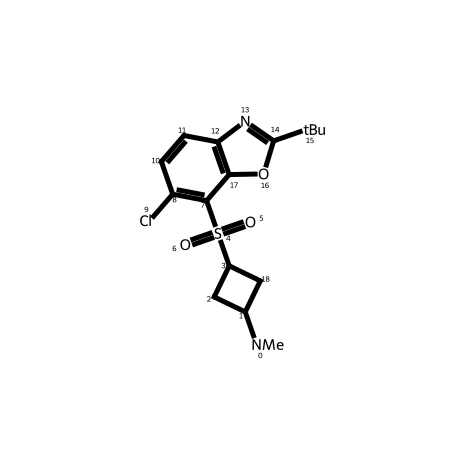 CNC1CC(S(=O)(=O)c2c(Cl)ccc3nc(C(C)(C)C)oc23)C1